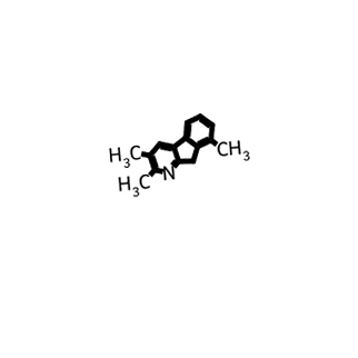 Cc1cc2c(nc1C)Cc1c(C)cccc1-2